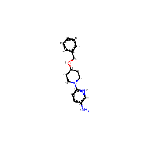 Nc1ccc(N2CCC(OCc3ccccc3)CC2)nc1